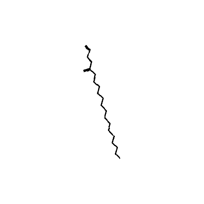 C=CCCC(=C)CCCCCCCCCCCCCCC